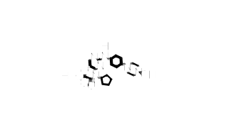 CN1CCN(c2ccc(Nc3ncc4c(n3)N(C3CCCC3)C(=O)C(C)(C)O4)cc2)CC1